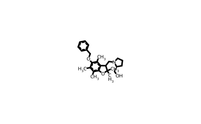 Cc1c(C)c2c(c(C)c1OCc1ccccc1)C(CN1CCC[C@H]1CO)C(C)(C)O2